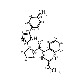 COC(=O)N[C@@H](C(=O)N1CCC[C@H]1c1ncc(-c2ccc(C)cc2)[nH]1)c1ccccc1